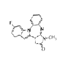 CN1C(=O)CC2C1=Nc1ccccc1-n1c2cc2ccc(F)cc21